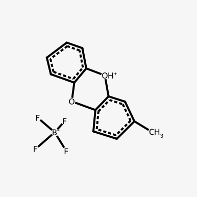 Cc1ccc2c(c1)[OH+]c1ccccc1O2.F[B-](F)(F)F